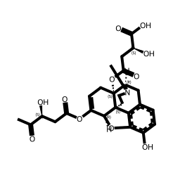 CC(=O)[C@@H](O)CC(=O)OC1=CC[C@@]2(OC(=O)C[C@H](O)C(=O)O)[C@H]3Cc4ccc(O)c5c4[C@@]2(CCN3C)[C@H]1O5